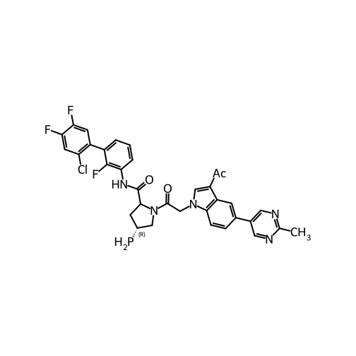 CC(=O)c1cn(CC(=O)N2C[C@H](P)CC2C(=O)Nc2cccc(-c3cc(F)c(F)cc3Cl)c2F)c2ccc(-c3cnc(C)nc3)cc12